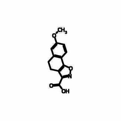 COc1ccc2c(c1)CCc1c(C(=O)O)noc1-2